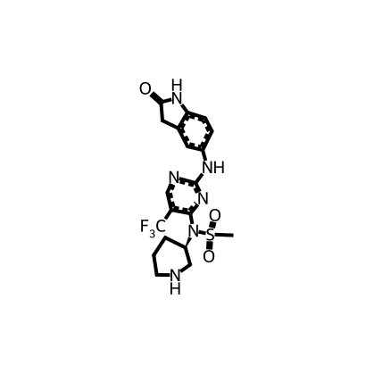 CS(=O)(=O)N(c1nc(Nc2ccc3c(c2)CC(=O)N3)ncc1C(F)(F)F)[C@@H]1CCCNC1